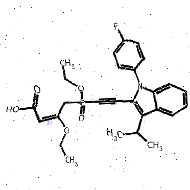 CCO/C(=C/C(=O)O)CP(=O)(C#Cc1c(C(C)C)c2ccccc2n1-c1ccc(F)cc1)OCC